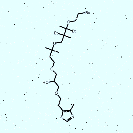 CCC(C)CCOC(C)(CC)C(C)(CC)COC(C)(C)CCOCC(O)COCCc1scnc1C